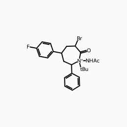 CC(=O)N[N+]1(C(C)(C)C)C(=O)C(Br)CC(c2ccc(F)cc2)CC1c1ccccc1